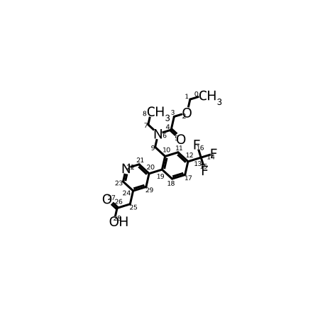 CCOCC(=O)N(CC)Cc1cc(C(F)(F)F)ccc1-c1cncc(CC(=O)O)c1